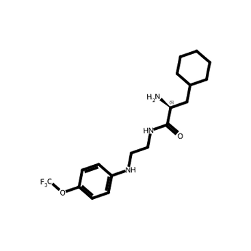 N[C@@H](CC1CCCCC1)C(=O)NCCNc1ccc(OC(F)(F)F)cc1